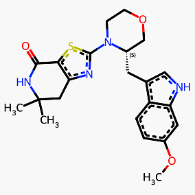 COc1ccc2c(C[C@H]3COCCN3c3nc4c(s3)C(=O)NC(C)(C)C4)c[nH]c2c1